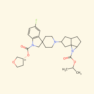 CC(C)OC(=O)N1C2CCC3CC(N4CCC5(CC4)CN(C(=O)O[C@@H]4CCOC4)c4ccc(F)cc45)CC321